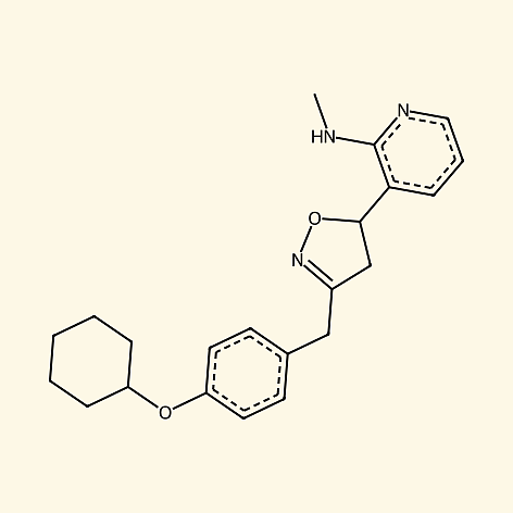 CNc1ncccc1C1CC(Cc2ccc(OC3CCCCC3)cc2)=NO1